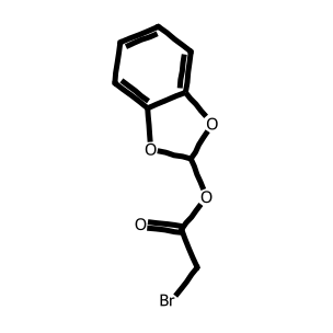 O=C(CBr)OC1Oc2ccccc2O1